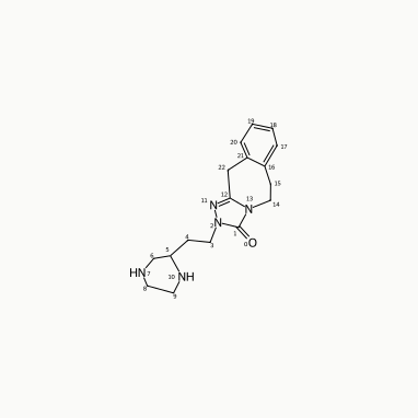 O=c1n(CCC2CNCCN2)nc2n1CCc1ccccc1C2